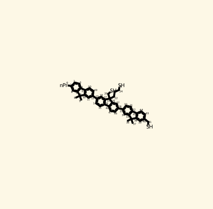 CCCc1ccc2c(c1)C(C)(C)c1cc(-c3ccc4c(c3)C(CS)(CCCS)c3cc(-c5ccc6c(c5)C(C)(C)c5cc(CS)ccc5-6)ccc3-4)ccc1-2